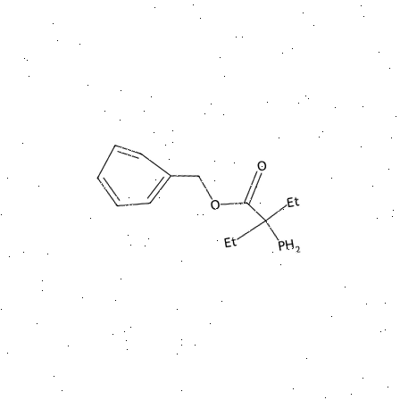 CCC(P)(CC)C(=O)OCc1ccccc1